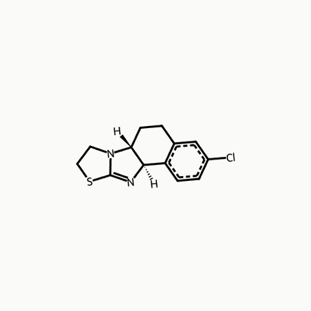 Clc1ccc2c(c1)CC[C@@H]1[C@@H]2N=C2SCCN21